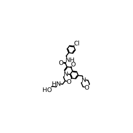 O=C(NCc1ccc(Cl)cc1)c1cn2c3c(cc(CN4CCOCC4)cc3c1=O)OC(CNCCO)C2